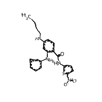 CCCCNc1ccc(C(=O)Nc2ccc([N+](=O)[O-])s2)c(Nc2ccccc2)c1